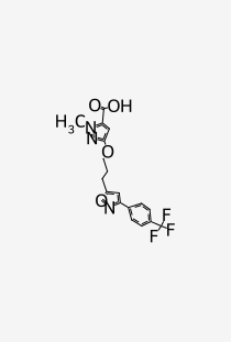 Cn1nc(OCCCc2cc(-c3ccc(C(F)(F)F)cc3)no2)cc1C(=O)O